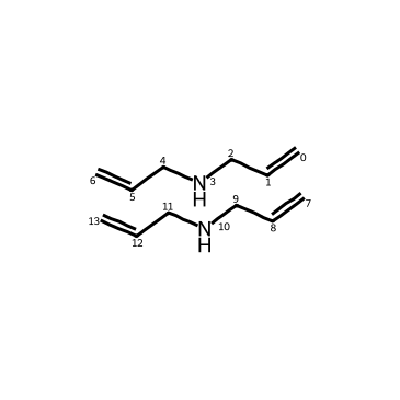 C=CCNCC=C.C=CCNCC=C